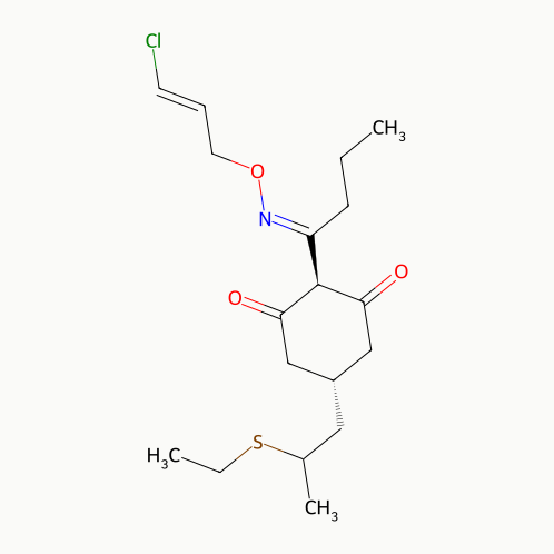 CCCC(=NOCC=CCl)[C@H]1C(=O)C[C@H](CC(C)SCC)CC1=O